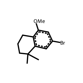 COc1cc(Br)cc2c1CCCC2(C)C